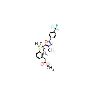 COC(=O)Cc1cccc(SC(C)(C)c2oc(-c3ccc(C(F)(F)F)cc3)nc2C)c1